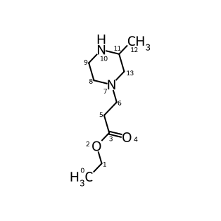 CCOC(=O)CCN1CCNC(C)C1